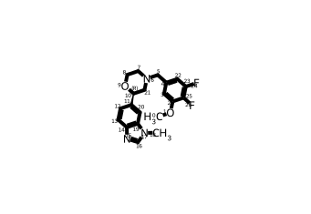 COc1cc(CN2CCO[C@H](c3ccc4ncn(C)c4c3)C2)cc(F)c1F